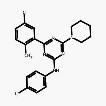 Cc1ccc(Cl)cc1-c1nc(Nc2ccc(Cl)cc2)nc(N2CCCCC2)n1